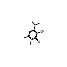 Cc1cc(C(C)C)c(O)c(=O)n1C